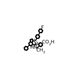 C[C@H](NC(=O)c1cc(-c2ccccc2)cc2ccn(Cc3ccc(-c4ccc(F)cc4)cc3)c12)c1ccc(C(=O)O)cc1